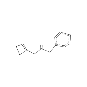 C1=C(CNCc2ccccc2)CC1